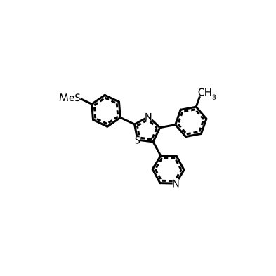 CSc1ccc(-c2nc(-c3cccc(C)c3)c(-c3ccncc3)s2)cc1